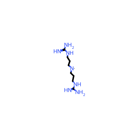 N=C(N)NCCC[N]CCCNC(=N)N